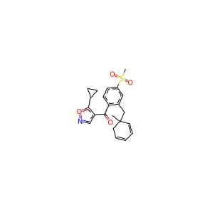 CC1(Cc2cc(S(C)(=O)=O)ccc2C(=O)c2cnoc2C2CC2)C=CC=CC1